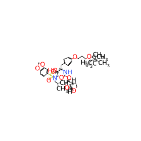 CC(C)CN(C[C@@H](O)[C@H](Cc1ccc(OCCCO[Si](C)(C)C(C)(C)C)cc1)NC(=O)O[C@H]1CO[C@H]2OCC[C@H]21)S(=O)(=O)c1ccc2c(c1)OCO2